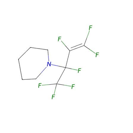 FC(F)=C(F)C(F)(N1CCCCC1)C(F)(F)F